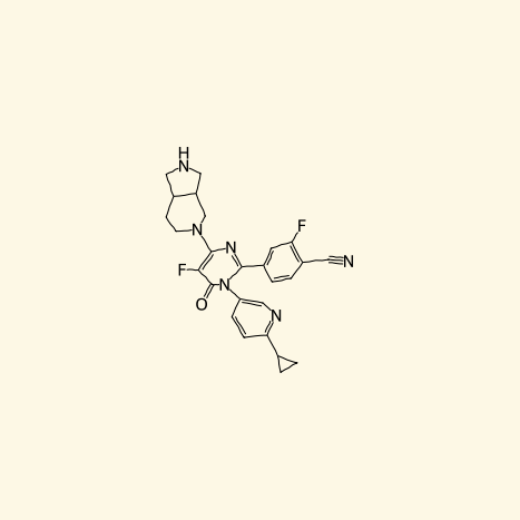 N#Cc1ccc(-c2nc(N3CCC4CNCC4C3)c(F)c(=O)n2-c2ccc(C3CC3)nc2)cc1F